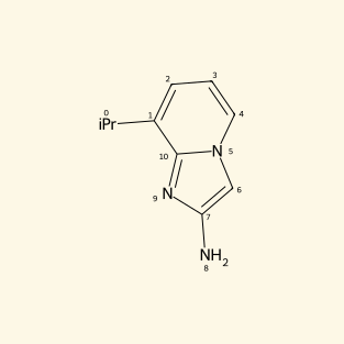 CC(C)c1cccn2cc(N)nc12